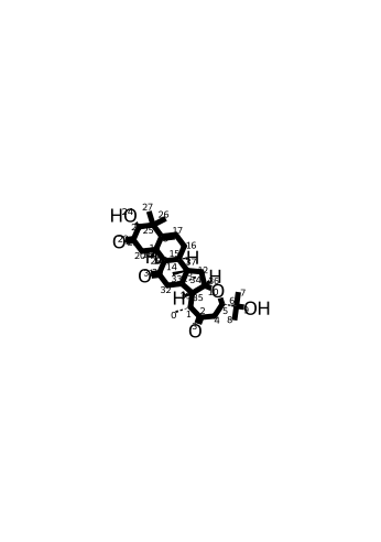 C[C@H]1C(=O)C[C@@H](C(C)(C)O)O[C@H]2C[C@@]3(C)[C@@H]4CC=C5[C@@H](CC(=O)[C@@H](O)C5(C)C)[C@]4(C)C(=O)C[C@]3(C)[C@H]21